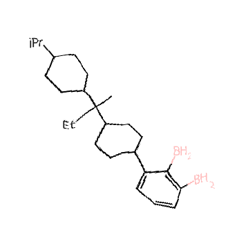 Bc1cccc(C2CCC(C(C)(CC)C3CCC(C(C)C)CC3)CC2)c1B